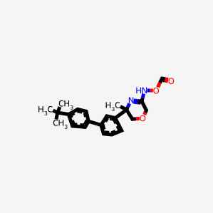 CC(C)(C)c1ccc(-c2cccc(C3(C)COCC(NOC=O)=N3)c2)cc1